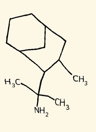 CC1CC2CCCC(C2)C1C(C)(C)N